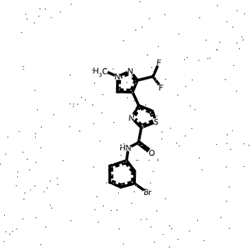 Cn1cc(-c2csc(C(=O)Nc3cccc(Br)c3)n2)c(C(F)F)n1